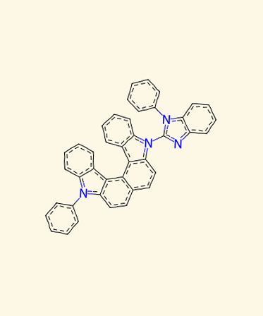 c1ccc(-n2c(-n3c4ccccc4c4c5c(ccc6c5c5ccccc5n6-c5ccccc5)ccc43)nc3ccccc32)cc1